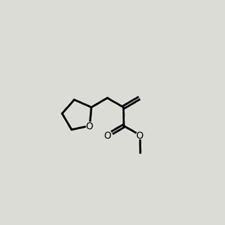 C=C(CC1CCCO1)C(=O)OC